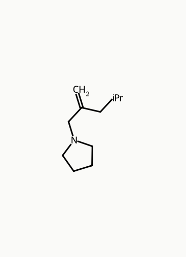 C=C(CC(C)C)CN1CCCC1